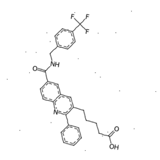 O=C(O)CCCCc1cc2cc(C(=O)NCc3ccc(C(F)(F)F)cc3)ccc2nc1-c1ccccc1